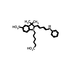 CC1(C)c2cc(S(=O)(=O)O)ccc2N(CCCCCC(=O)O)C1C=CC=CNc1ccccc1